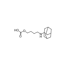 O=C(O)OCCCCNC12CC3CC(CC(C3)C1)C2